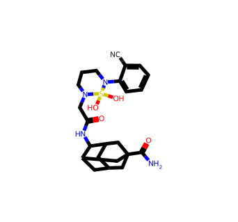 N#Cc1ccccc1N1CCCN(CC(=O)NC2C3CC4CC2CC(C(N)=O)(C4)C3)S1(O)O